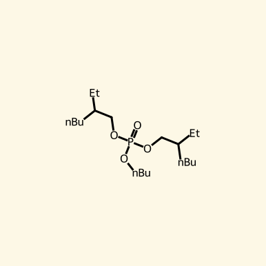 CCCCOP(=O)(OCC(CC)CCCC)OCC(CC)CCCC